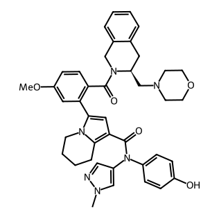 COc1ccc(C(=O)N2Cc3ccccc3C[C@H]2CN2CCOCC2)c(-c2cc(C(=O)N(c3ccc(O)cc3)c3cnn(C)c3)c3n2CCCC3)c1